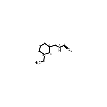 CCN1CCCC(CNC=O)C1